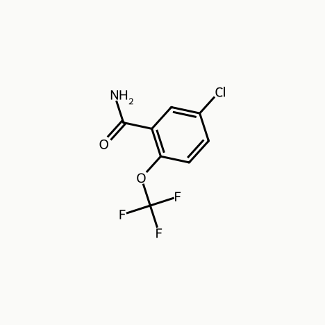 NC(=O)c1cc(Cl)ccc1OC(F)(F)F